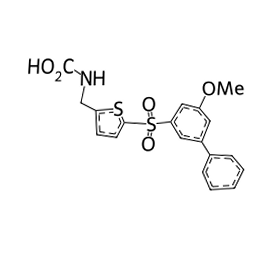 COc1cc(-c2ccccc2)cc(S(=O)(=O)c2ccc(CNC(=O)O)s2)c1